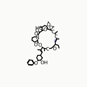 CCC1/C=C(\C)CC(C)CC(OC)C2OC(O)(C(=O)C(=O)N3CCCCC3C(=O)OC(C(C)=CC3CCC(Oc4ccccc4)C(O)C3)C(C)CCC1=O)C(C)CC2OC